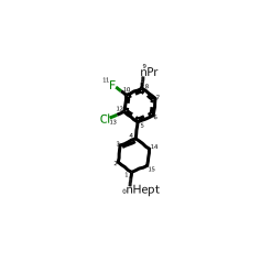 CCCCCCCC1CC=C(c2ccc(CCC)c(F)c2Cl)CC1